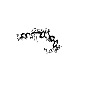 COc1cc(-c2ccc3c(c2)Nc2ccc(C(C)(C)C(=O)NCc4ccc(C(F)(F)F)nc4)cc2NC3=O)ccc1[N+](=O)[O-]